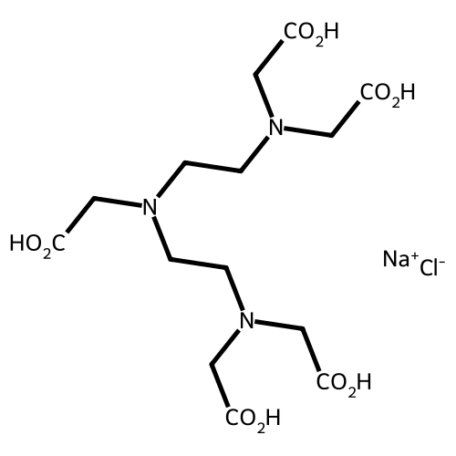 O=C(O)CN(CCN(CC(=O)O)CC(=O)O)CCN(CC(=O)O)CC(=O)O.[Cl-].[Na+]